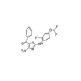 Nc1nc(Nc2ccc(OC(F)F)cc2F)sc1C(=O)c1ccccc1